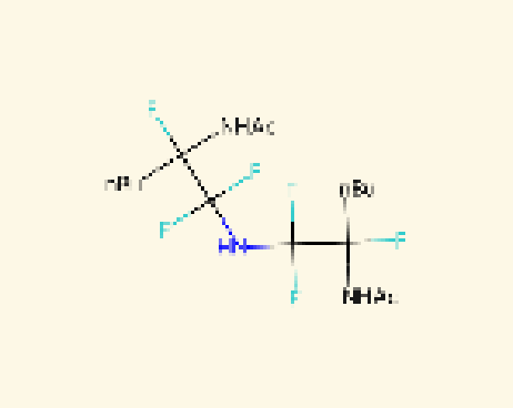 CCCCC(F)(NC(C)=O)C(F)(F)NC(F)(F)C(F)(CCCC)NC(C)=O